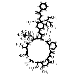 CCC1/C=C(\C)CC(C)CC(OC)C2OC(O)(C(=O)C(=O)N3CCCCC3C(=O)OC(C(C)=CC3CCC(CCC(=O)c4ccccc4)(O[Si](CC)(CC)CC)C(OC)C3)C(C)C(O[Si](C)(C)C(C)(C)C)CC1=O)C(C)CC2OC